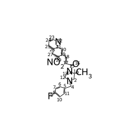 CC1CN(Cc2ccc(F)cc2)CCN1C(=O)C=Cc1cc2ncccc2cc1[N+](=O)[O-]